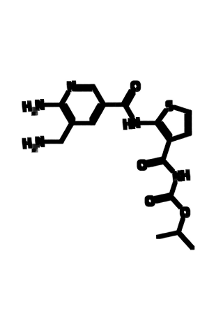 CC(C)OC(=O)NC(=O)c1ccsc1NC(=O)c1cnc(N)c(CN)c1